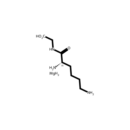 NCCCC[C@H](N)C(=O)NCC(=O)O.[MgH2]